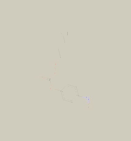 CCCCOOC(=O)Oc1ccc(N=O)cc1